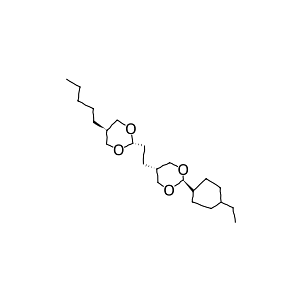 CCCCC[C@H]1CO[C@H](CC[C@H]2CO[C@H](C3CCC(CC)CC3)OC2)OC1